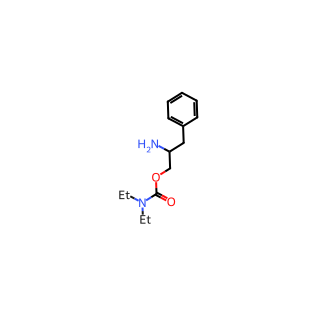 CCN(CC)C(=O)OCC(N)Cc1ccccc1